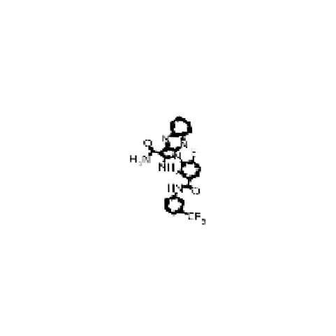 NC(=O)c1c(N)n(-c2cc(C(=O)Nc3cccc(C(F)(F)F)c3)ccc2F)c2nc3ccccc3nc12